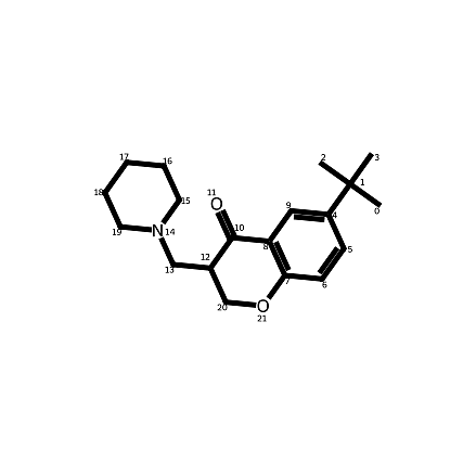 CC(C)(C)c1ccc2c(c1)C(=O)C(CN1CCCCC1)CO2